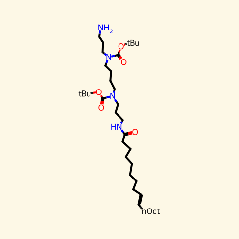 CCCCCCCC/C=C/CCCCCCCC(=O)NCCCN(CCCCN(CCCN)C(=O)OC(C)(C)C)C(=O)OC(C)(C)C